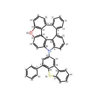 c1ccc(-c2cc(-n3c4cccc5c6ccccc6c6cccc7oc8ccc3c(c8c76)c54)cc3c2sc2ccccc23)cc1